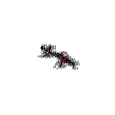 CCC(OC(C)=O)/C(OC(O)/C(O)=C(\O)C(C)O)=C(/O)C(O)OC(CC)C(O)C(CO)(OC(=O)[C@]12CCC(C)(C)CC1C1=CCC3[C@@]4(C)CC[C@H](OC(O)C(OC(O)/C(O)=C(\O)C(O)CCO)C(OC(O)C(O)C(O)C(C)O)C(O)CC(=O)NCCN5C(=O)C=CC5=O)[C@@](C)(C=O)C4CC[C@@]3(C)[C@]1(C)C[C@H]2O)OC1OC(C)C(OC(O)/C(O)=C(/OC(O)/C(O)=C(/O)C(O)CCO)C(C)O)C(O)C1O